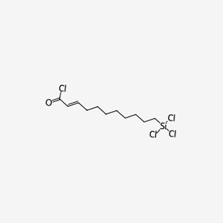 O=C(Cl)C=CCCCCCCCC[Si](Cl)(Cl)Cl